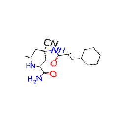 CC1CC(C#N)(NC(=O)[CH]CC2CCCCC2)CC(C(N)=O)N1